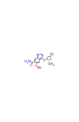 CCC1CC(Oc2ccnc3cc(C(N)=O)c(OC(C)C)cc23)[C@@H](C)C1